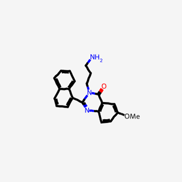 COc1ccc2nc(-c3cccc4ccccc34)n(CCCN)c(=O)c2c1